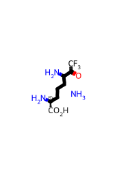 N.NC(CCC[C@H](N)C(=O)O)C(=O)C(F)(F)F